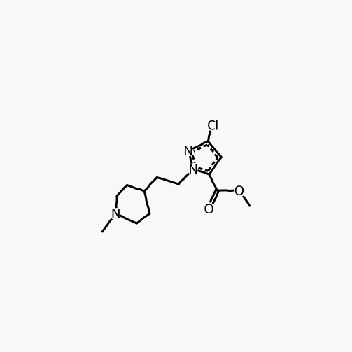 COC(=O)c1cc(Cl)nn1CCC1CCN(C)CC1